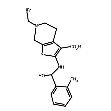 Cc1ccccc1C(O)Nc1sc2c(c1C(=O)O)CCN(CC(C)C)C2